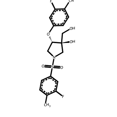 Cc1ccc(S(=O)(=O)N2C[C@H](Oc3ccc(C#N)c(F)c3)[C@](O)(CO)C2)cc1F